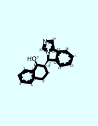 O[C@@H]1c2ccccc2CC[C@@H]1C1c2ccccc2-c2cncn21